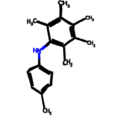 Cc1ccc(Nc2c(C)c(C)c(C)c(C)c2C)cc1